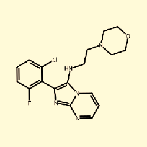 Fc1cccc(Cl)c1-c1nc2ncccn2c1NCCN1CCOCC1